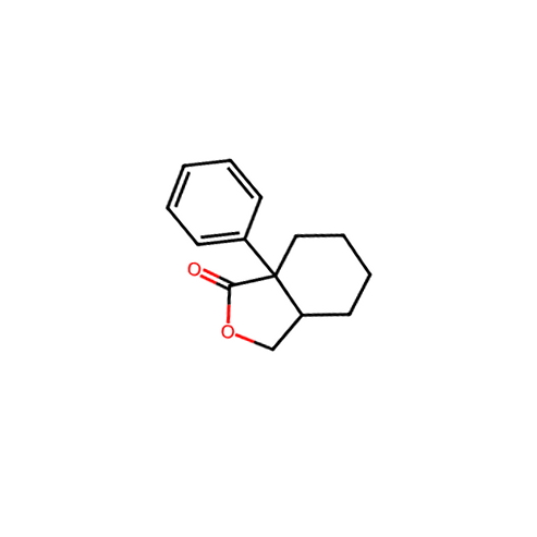 O=C1OCC2CCCCC12c1ccccc1